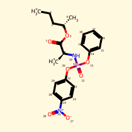 CCC[C@H](C)OC(=O)[C@H](C)NP(=O)(Oc1ccccc1)Oc1ccc([N+](=O)[O-])cc1